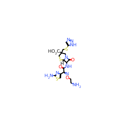 NCCON=C(C(=O)NC1C(=O)N2CC(CSc3cnn[nH]3)(C(=O)O)CS[C@H]12)c1csc(N)n1